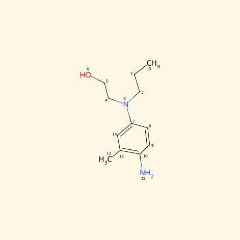 CCCN(CCO)c1ccc(N)c(C)c1